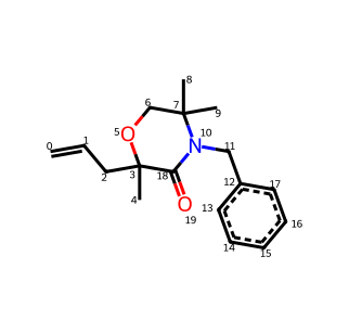 C=CCC1(C)OCC(C)(C)N(Cc2ccccc2)C1=O